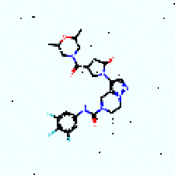 CC1CN(C(=O)C2CC(=O)N(c3cnn4c3CN(C(=O)Nc3cc(F)c(F)c(F)c3)[C@@H](C)C4)C2)CC(C)O1